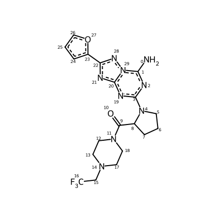 Nc1nc(N2CCCC2C(=O)N2CCN(CC(F)(F)F)CC2)nc2nc(-c3ccco3)nn12